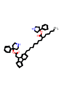 CCCCCCC(CCCCCCCCc1ccc2c(c1)C(CC(=O)OC1(c3ccccc3)CCNCC1)c1ccccc1-2)C(=O)OC1(c2ccccc2)CCNCC1